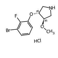 CO[C@@H]1CNC[C@H]1Oc1cccc(Br)c1F.Cl